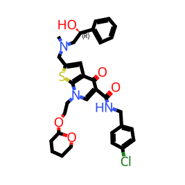 CN(Cc1cc2c(=O)c(C(=O)NCc3ccc(Cl)cc3)cn(CCOC3CCCCO3)c2s1)C[C@H](O)c1ccccc1